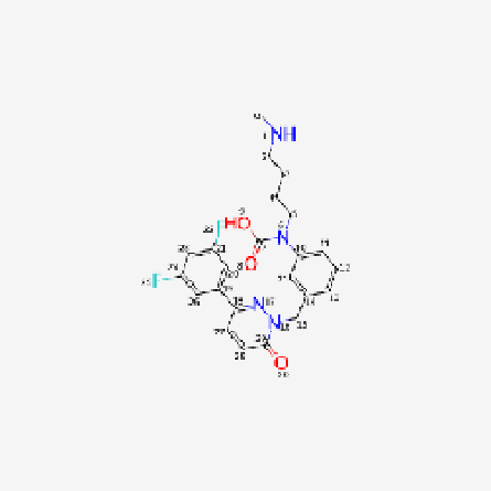 CNCCCCN(C(=O)O)c1cccc(Cn2nc(-c3cc(F)cc(F)c3)ccc2=O)c1